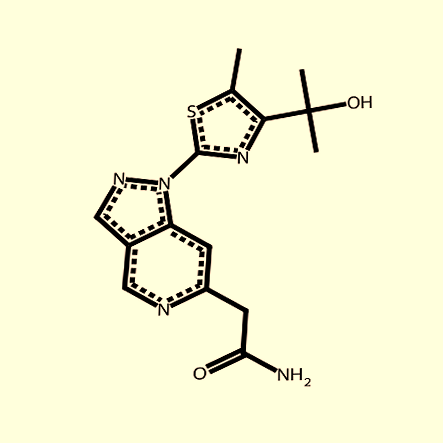 Cc1sc(-n2ncc3cnc(CC(N)=O)cc32)nc1C(C)(C)O